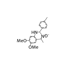 COc1cc2c(cc1OC)C(C)=[N+]([O-])C(c1ccc(C)cc1)N2